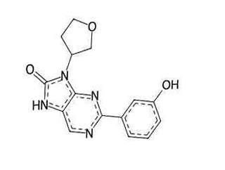 O=c1[nH]c2cnc(-c3cccc(O)c3)nc2n1C1CCOC1